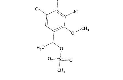 COc1c(C(C)OS(C)(=O)=O)cc(Cl)c(F)c1Br